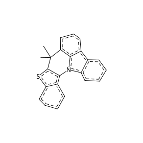 CC1(C)c2sc3ccccc3c2-n2c3ccccc3c3cccc1c32